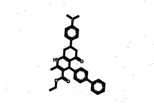 CCOC(=O)C1=C(C)NC2=C(C(=O)CC(c3ccc(N(C)C)cc3)C2)C1c1ccc(-c2ccccc2)cc1